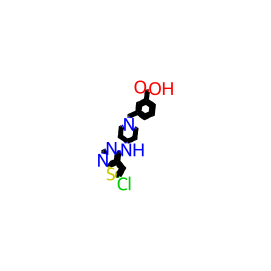 O=C(O)c1cccc(CN2CCC(Nc3ncnc4sc(Cl)cc34)CC2)c1